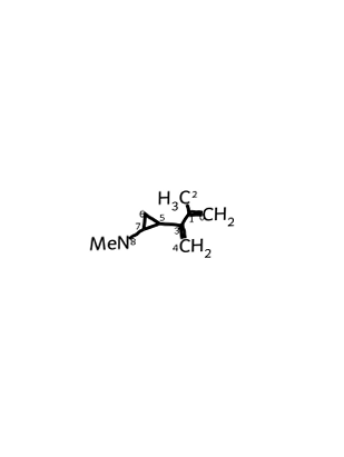 C=C(C)C(=C)C1CC1NC